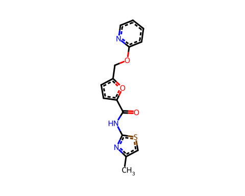 Cc1csc(NC(=O)c2ccc(COc3ccccn3)o2)n1